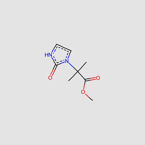 COC(=O)C(C)(C)n1cc[nH]c1=O